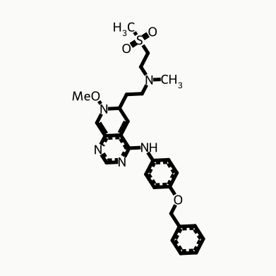 CON1C=c2ncnc(Nc3ccc(OCc4ccccc4)cc3)c2=CC1CCN(C)CCS(C)(=O)=O